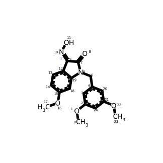 COc1cc(CN2C(=O)/C(=N\O)c3ccc(OC)cc32)cc(OC)c1